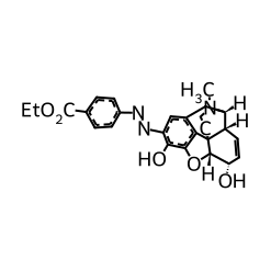 CCOC(=O)c1ccc(N=Nc2cc3c4c(c2O)O[C@H]2[C@@H](O)C=C[C@H]5[C@@H](C3)N(C)CC[C@@]452)cc1